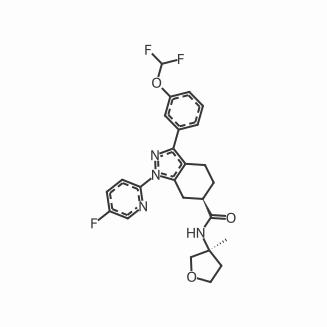 C[C@]1(NC(=O)[C@@H]2CCc3c(-c4cccc(OC(F)F)c4)nn(-c4ccc(F)cn4)c3C2)CCOC1